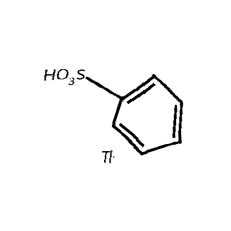 O=S(=O)(O)c1ccccc1.[Tl]